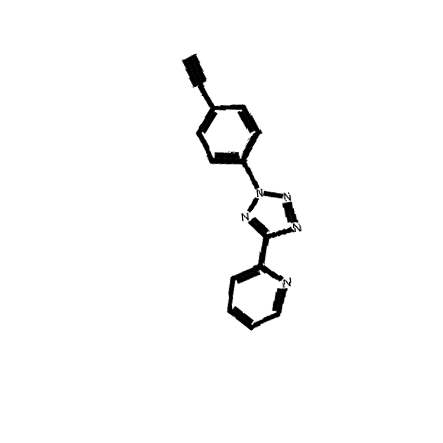 C#Cc1ccc(-n2nnc(-c3ccccn3)n2)cc1